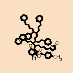 Cc1ccc(-c2nc(C[C](CCC=Cc3ccc(Cl)s3)C(CCc3cccc4ccccc34)(Oc3ccc(Cl)cc3)C(CC=C(CCCc3ccccc3)C(CCCCc3ccccc3)c3ccc(Cl)cc3)CCc3ccccc3)co2)cc1